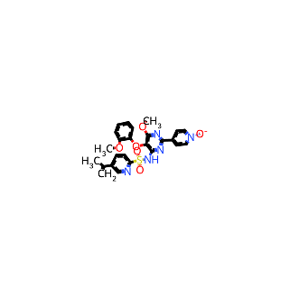 C=C(C)c1ccc(S(=O)(=O)Nc2nc(-c3cc[n+]([O-])cc3)nc(OC)c2Oc2ccccc2OC)nc1